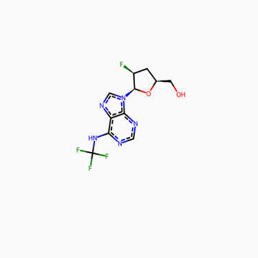 OC[C@@H]1C[C@H](F)[C@H](n2cnc3c(NC(F)(F)F)ncnc32)O1